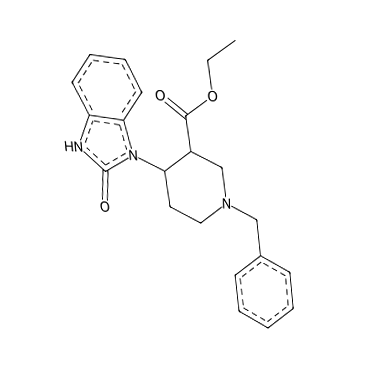 CCOC(=O)C1CN(Cc2ccccc2)CCC1n1c(=O)[nH]c2ccccc21